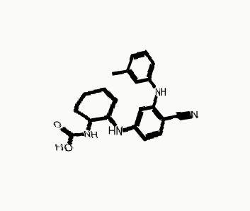 Cc1cccc(Nc2cc(NC3CCCCC3NC(=O)O)ccc2C#N)c1